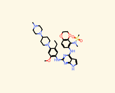 CCc1cc(Nc2nc(Nc3ccc4c(c3N(C)S(C)(=O)=O)OCCO4)c3cc[nH]c3n2)c(OC)cc1N1CCC(N2CCN(C)CC2)CC1